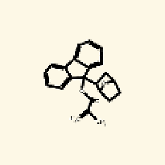 C=C(C)C(=O)OC1(C2CC3CCC2O3)c2ccccc2-c2ccccc21